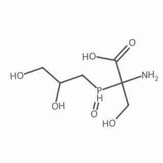 NC(CO)(C(=O)O)[PH](=O)CC(O)CO